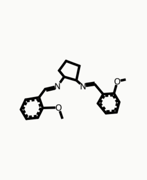 COc1ccccc1/C=N/C1CCCC1/N=C/c1ccccc1OC